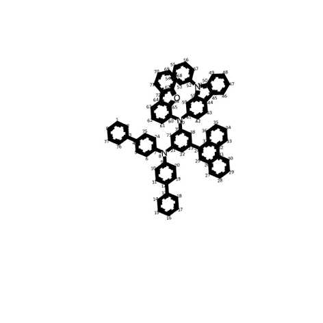 c1ccc(-c2ccc(N(c3ccc(-c4ccccc4)cc3)c3cc(-c4cc5ccccc5c5ccccc45)cc(N(c4ccc5c6ccccc6n(-c6ccccc6)c5c4)c4cccc5c4oc4ccccc45)c3)cc2)cc1